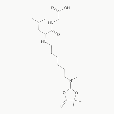 CC(C)CC(NCCCCCCN(C)C1OC(=O)C(C)(C)O1)C(=O)NCC(=O)O